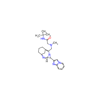 CN(CC(=O)NC(C)(C)C)CC1=C2CCCC(=N[C@H]3C(c4cn5ccccc5n4)N13)C2